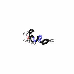 COC(=O)C1(Cc2ccccc2C)CCN(C(C)c2cncn2Cc2ccc(C#N)cc2)CC1